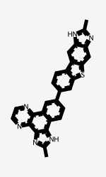 Cc1nc2cc3sc4cc(-c5ccc6c(c5)c5nccnc5c5nc(C)[nH]c65)ccc4c3cc2[nH]1